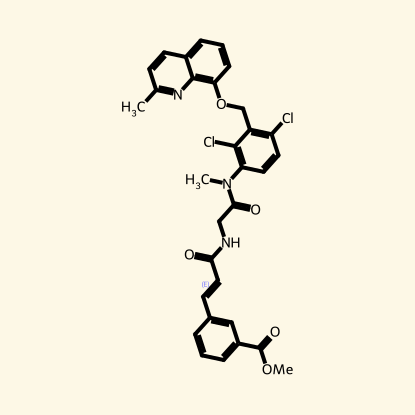 COC(=O)c1cccc(/C=C/C(=O)NCC(=O)N(C)c2ccc(Cl)c(COc3cccc4ccc(C)nc34)c2Cl)c1